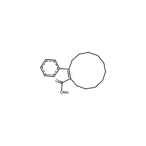 COC(=O)/C1=C(\c2ccccc2)CCCCCCCCCC1